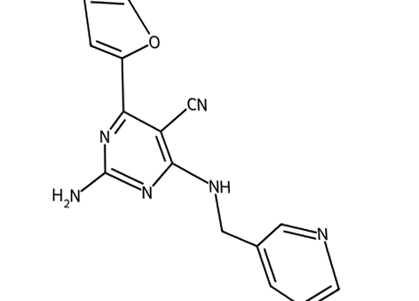 N#Cc1c(NCc2cccnc2)nc(N)nc1-c1ccco1